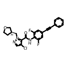 O=C(Nc1c(F)cc(C#Cc2ccccc2)cc1F)c1c(Cl)cnn1C[C@H]1CCOC1